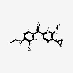 CCOc1ccc(C(=O)c2ccc(C3CC3)c(OC)n2)cc1Cl